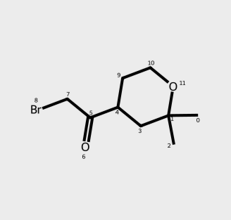 CC1(C)CC(C(=O)CBr)CCO1